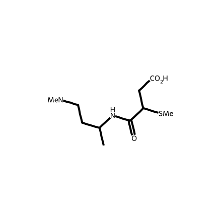 CNCCC(C)NC(=O)C(CC(=O)O)SC